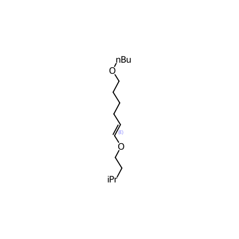 CCCCOCCCC/C=C/OCCC(C)C